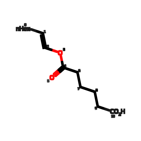 CCCCCCC=COC(=O)CCCCC(=O)O